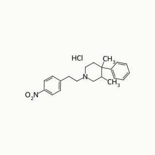 CC1CN(CCc2ccc([N+](=O)[O-])cc2)CCC1(C)c1ccccc1.Cl